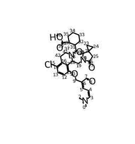 CN(C)/C=C\C=C(/C=O)COc1ccc(Cl)c2c1C(CN1CC3(CC3)CC1=O)N(C(=O)C1CCCC[C@]1(C)C(=O)O)CC2